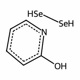 Oc1ccccn1.[SeH][SeH]